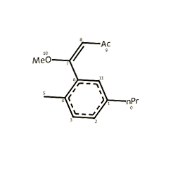 CCCc1ccc(C)c(/C(=C\C(C)=O)OC)c1